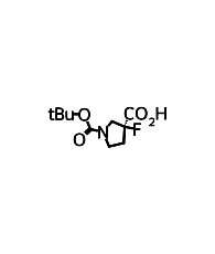 CC(C)(C)OC(=O)N1CC[C@@](F)(C(=O)O)C1